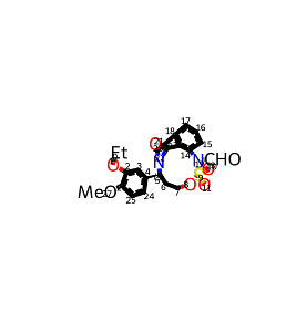 CCOc1cc([C@@H]2CCOS(=O)(=O)N(C=O)c3cccc4c3C(=O)N2C4)ccc1OC